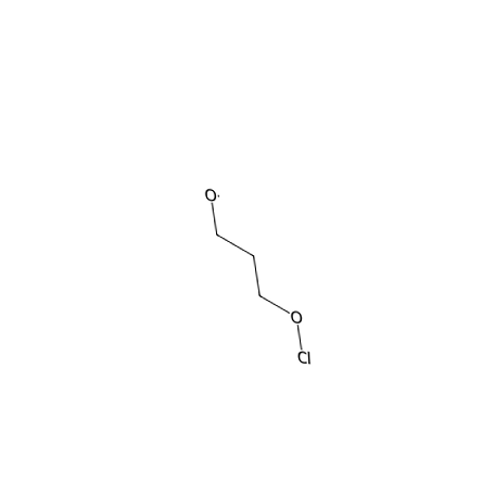 [O]CCCOCl